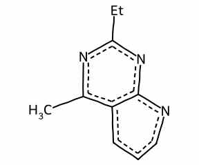 CCc1nc(C)c2cccnc2n1